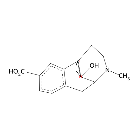 CN1CCC23CCCCC2(O)C1Cc1ccc(C(=O)O)cc13